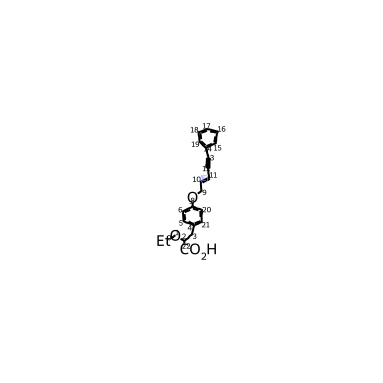 CCOC(Cc1ccc(OC/C=C/C#Cc2ccccc2)cc1)C(=O)O